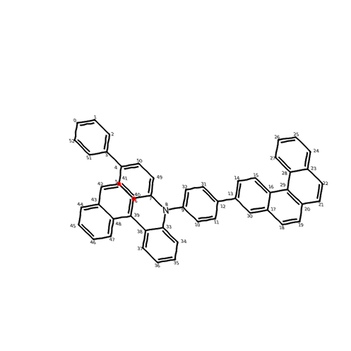 c1ccc(-c2ccc(N(c3ccc(-c4ccc5c(ccc6ccc7ccccc7c65)c4)cc3)c3ccccc3-c3cccc4ccccc34)cc2)cc1